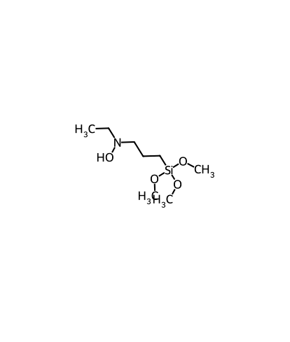 CCN(O)CCC[Si](OC)(OC)OC